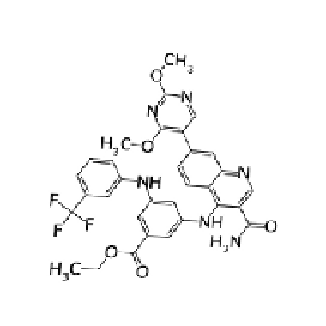 CCOC(=O)c1cc(Nc2cccc(C(F)(F)F)c2)cc(Nc2c(C(N)=O)cnc3cc(-c4cnc(OC)nc4OC)ccc23)c1